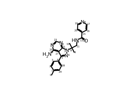 Cc1ccc(-c2nn(C(C)(C)CNC(=O)c3ccncc3)c3ncnc(N)c23)cc1